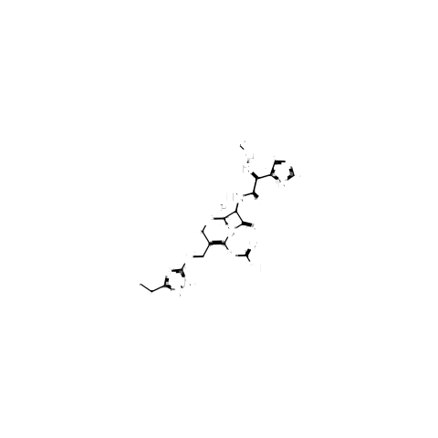 CCc1nnc(SCC2=C(OC(=O)O)N3C(=O)C(NC(=O)C(=NOC)c4cscn4)[C@@H]3SC2)s1